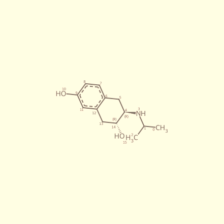 CC(C)N[C@@H]1Cc2ccc(O)cc2C[C@H]1O